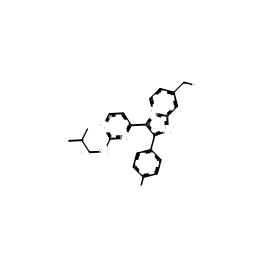 CC(C)[C@@H](C)Nc1nccc(-c2c(-c3ccc(F)cc3)nc3cc(CO)ccn23)n1